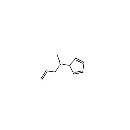 C=C[CH2][Ni]([CH3])[CH]1C=CC=C1